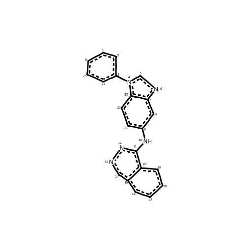 c1ccc(-n2cnc3cc(Nc4nncc5ccccc45)ccc32)cc1